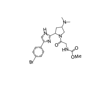 COC(=O)NCC(=O)N1CC(N(C)C)CC1c1nc(-c2ccc(Br)cc2)c[nH]1